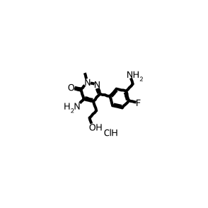 Cl.Cn1nc(-c2ccc(F)c(CN)c2)c(CCO)c(N)c1=O